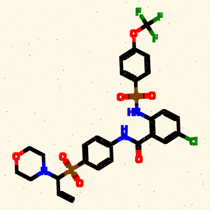 C=CC(N1CCOCC1)S(=O)(=O)c1ccc(NC(=O)c2cc(Cl)ccc2NS(=O)(=O)c2ccc(OC(F)(F)F)cc2)cc1